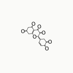 O=C1CC(=O)C2=C(C1)OC(=C1C=CC(=O)C(=O)C1)C(=O)C2=O